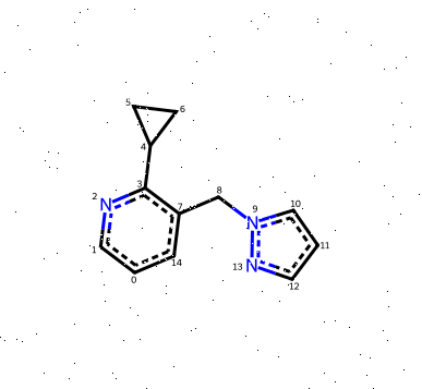 c1cnc(C2CC2)c(Cn2cccn2)c1